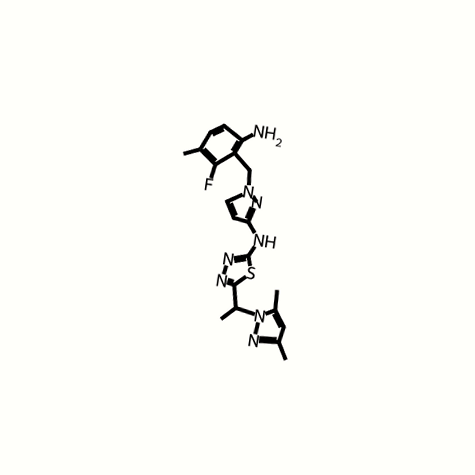 Cc1cc(C)n(C(C)c2nnc(Nc3ccn(Cc4c(N)ccc(C)c4F)n3)s2)n1